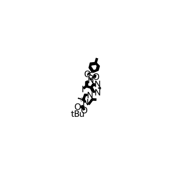 Cc1ccc(S(=O)(=O)n2cc(I)c3c(N4C[C@H](C)N(C(=O)OC(C)(C)C)CC4C)ncnc32)cc1